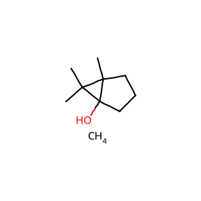 C.CC1(C)C2(C)CCCC12O